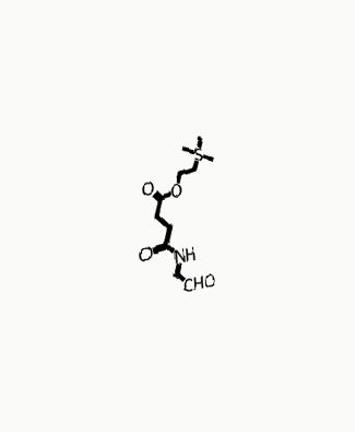 CS(C)(C)CCOC(=O)CCC(=O)NCC=O